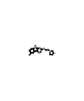 Cc1ccc2c(c1)c1nnc(SCCN3CCCC3)nc1n2C